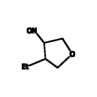 CCC1COCC1N=O